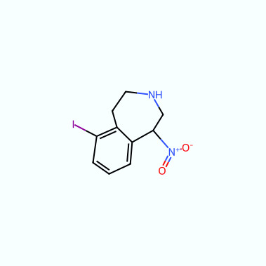 O=[N+]([O-])C1CNCCc2c(I)cccc21